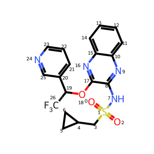 O=S(=O)(CC1CC1)Nc1nc2ccccc2nc1OC(c1cccnc1)C(F)(F)F